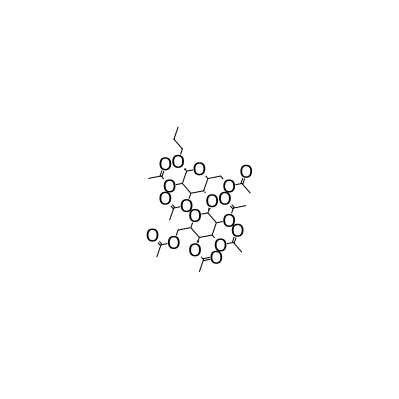 CCCO[C@H]1OC(COC(C)=O)[C@H](O[C@@H]2OC(COC(C)=O)[C@H](OC(C)=O)C(OC(C)=O)C2OC(C)=O)C(OC(C)=O)C1OC(C)=O